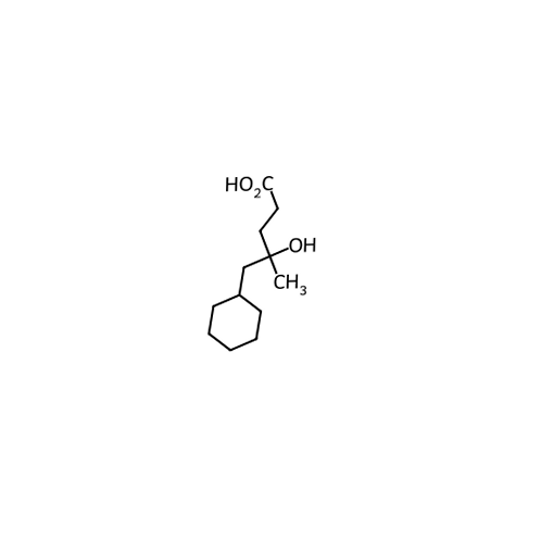 CC(O)(CCC(=O)O)CC1CCCCC1